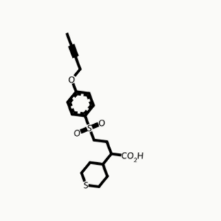 CC#CCOc1ccc(S(=O)(=O)CCC(C(=O)O)C2CCSCC2)cc1